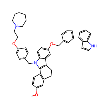 COc1ccc2c(c1)CCc1c-2n(Cc2ccc(OCCN3CCCCCC3)cc2)c2ccc(OCc3ccccc3)cc12.c1ccc2[nH]ccc2c1